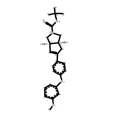 COc1cccc(Oc2ccc(C3=C[C@H]4CN(C(=O)OC(C)(C)C)C[C@H]4C3)cc2)c1